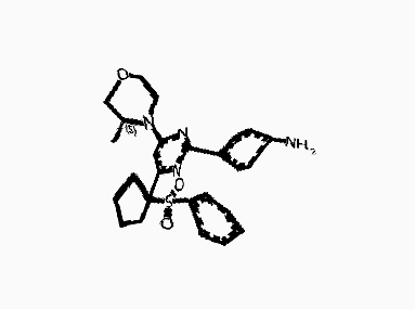 C[C@H]1COCCN1c1cc(C2(S(=O)(=O)c3ccccc3)CCCC2)nc(-c2ccc(N)cc2)n1